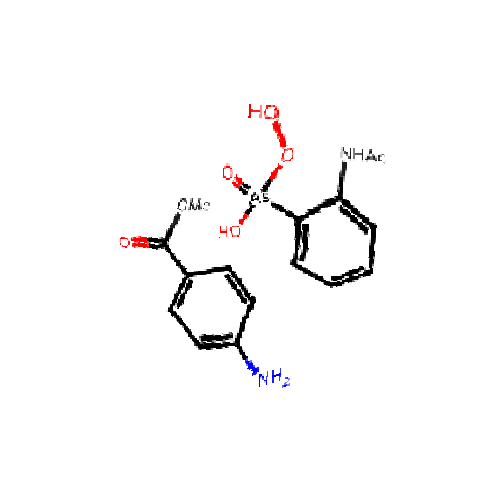 CC(=O)Nc1ccccc1[As](=O)(O)OO.COC(=O)c1ccc(N)cc1